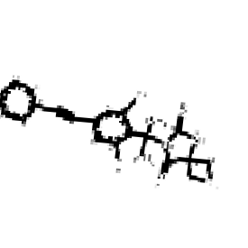 CC(C)(c1c(F)cc(C#Cc2ccccc2)cc1F)N1C(=O)NC2(COC2)C1=O